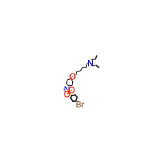 C=CCN(CC=C)CCCCCCO[C@H]1CC[C@H](N(C)S(=O)(=O)c2ccc(Br)cc2)CC1